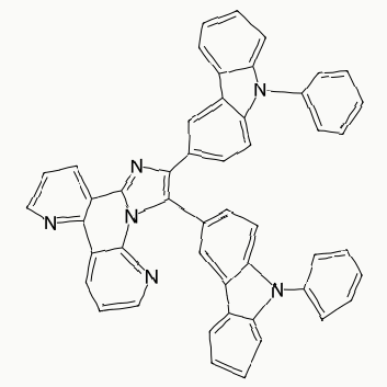 c1ccc(-n2c3ccccc3c3cc(-c4nc5c6cccnc6c6cccnc6n5c4-c4ccc5c(c4)c4ccccc4n5-c4ccccc4)ccc32)cc1